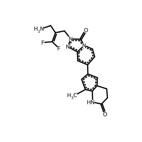 Cc1cc(-c2ccn3c(=O)n(CC(CN)=C(F)F)nc3c2)cc2c1NC(=O)CC2